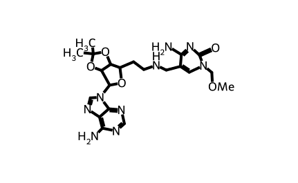 COCn1cc(CNCCC2OC(n3cnc4c(N)ncnc43)C3OC(C)(C)OC23)c(N)nc1=O